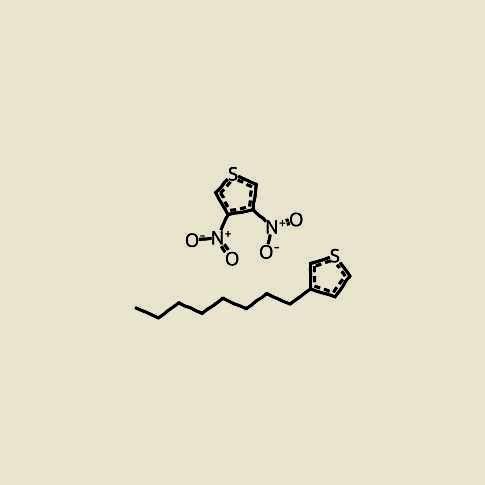 CCCCCCCCc1ccsc1.O=[N+]([O-])c1cscc1[N+](=O)[O-]